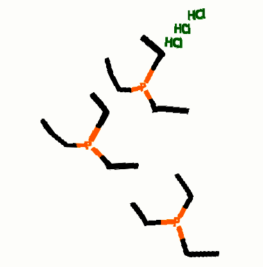 CCP(CC)CC.CCP(CC)CC.CCP(CC)CC.Cl.Cl.Cl